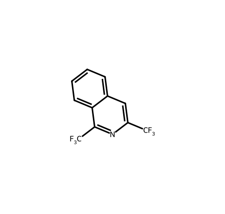 FC(F)(F)c1cc2ccccc2c(C(F)(F)F)n1